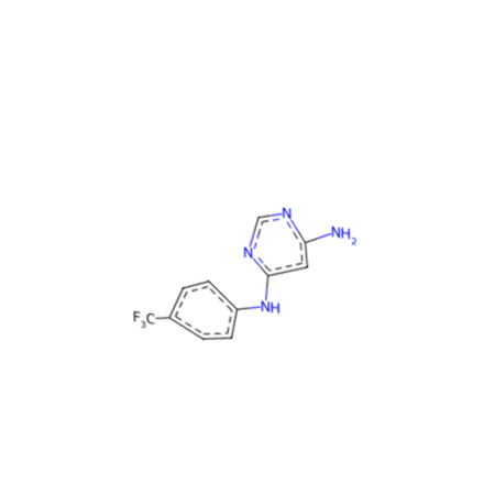 Nc1cc(Nc2ccc(C(F)(F)F)cc2)ncn1